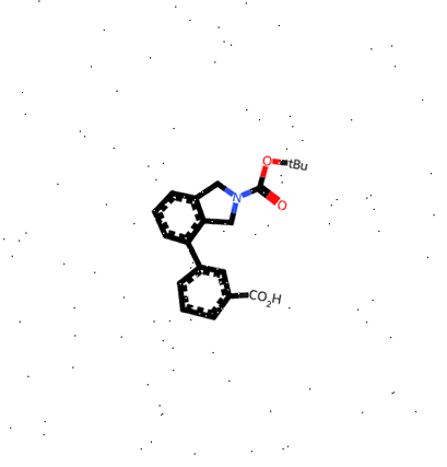 CC(C)(C)OC(=O)N1Cc2cccc(-c3cccc(C(=O)O)c3)c2C1